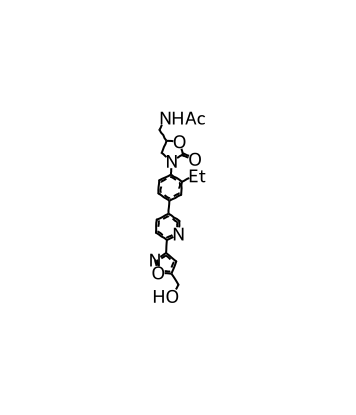 CCc1cc(-c2ccc(-c3cc(CO)on3)nc2)ccc1N1CC(CNC(C)=O)OC1=O